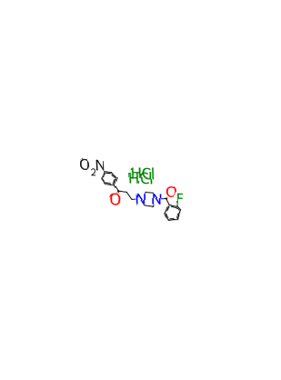 Cl.Cl.O=C(CCN1CCN(C(=O)c2ccccc2F)CC1)c1ccc([N+](=O)[O-])cc1